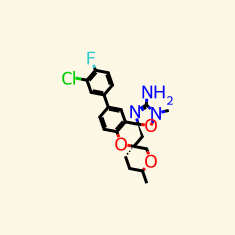 CC1CC[C@@]2(CO1)C[C@]1(N=C(N)N(C)O1)c1cc(-c3ccc(F)c(Cl)c3)ccc1O2